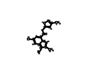 Cc1noc(CNc2cc(Cl)nc3c(Br)c(C)nn23)n1